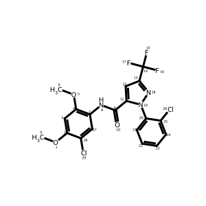 COc1cc(OC)c(NC(=O)c2cc(C(F)(F)F)nn2-c2ccccc2Cl)cc1Cl